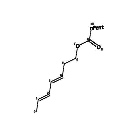 C/C=C/C=C/CCOC(=O)CCCCC